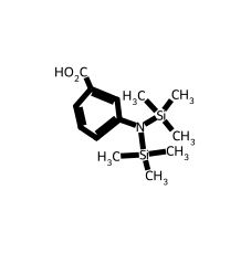 C[Si](C)(C)N(c1cccc(C(=O)O)c1)[Si](C)(C)C